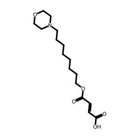 O=C(O)C=CC(=O)OCCCCCCCCN1CCOCC1